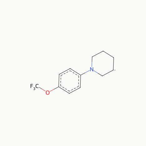 FC(F)(F)Oc1ccc(N2C[CH]CCC2)cc1